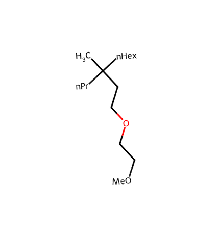 CCCCCCC(C)(CCC)CCOCCOC